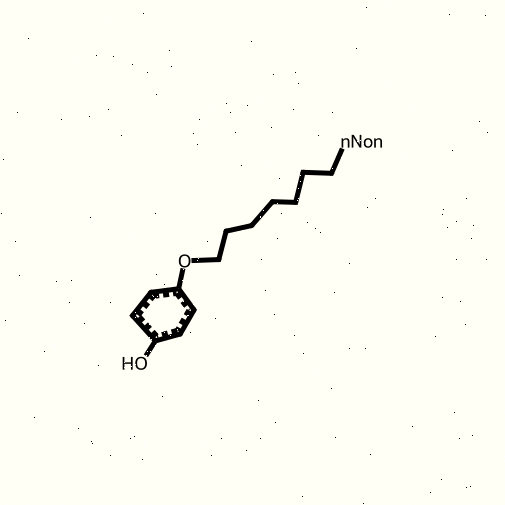 CCCCCCCCCCCCCCCCOc1ccc(O)cc1